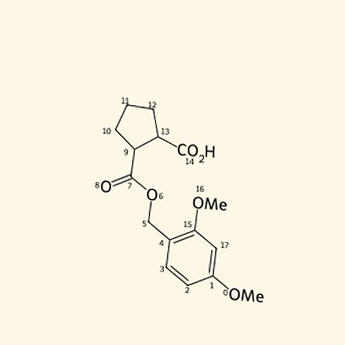 COc1ccc(COC(=O)C2CCCC2C(=O)O)c(OC)c1